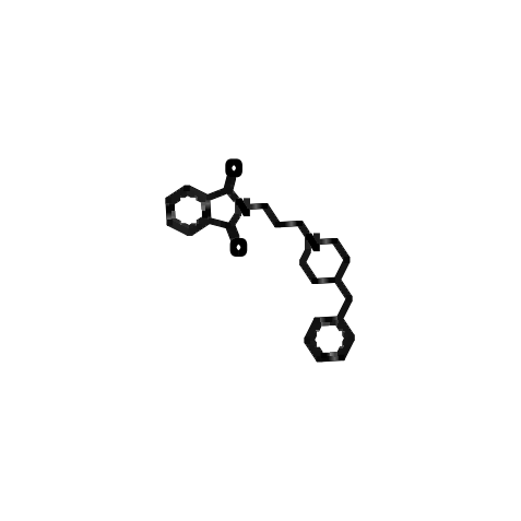 O=C1c2ccccc2C(=O)N1CCCN1CCC(Cc2ccccc2)CC1